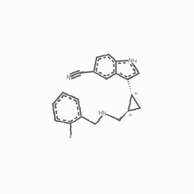 N#Cc1ccc2[nH]cc([C@@H]3C[C@H]3CNCc3ccccc3F)c2c1